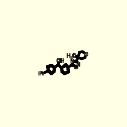 CC(C)c1ccc(C(O)c2cccc(-c3nc(C4(C)CCOCC4)no3)c2)cc1